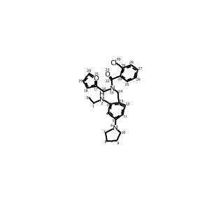 CCNc1cc(N2CCCC2)ccc1CN(Cc1ccco1)C(=O)c1ccccc1Cl